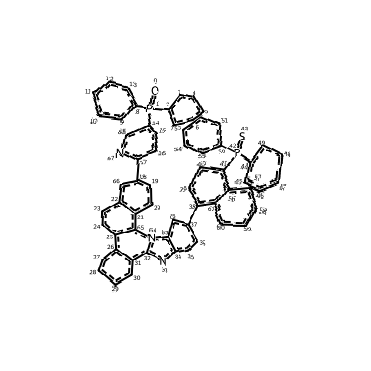 O=P(c1ccccc1)(c1ccccc1)c1ccc(-c2ccc3c(ccc4c5ccccc5c5nc6ccc(-c7ccc(P(=S)(c8ccccc8)c8ccccc8)c8ccccc78)cc6n5c34)c2)nc1